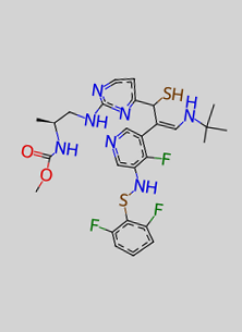 COC(=O)N[C@@H](C)CNc1nccc(C(S)/C(=C\NC(C)(C)C)c2cncc(NSc3c(F)cccc3F)c2F)n1